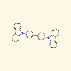 C1=CC2c3ccccc3N(C3=CC=C(C4=CC=C(N5c6ccccc6C6C=CC=CC65)CC4)CC3)C2C=C1